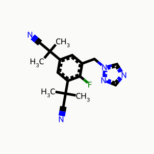 CC(C)(C#N)c1cc(Cn2cncn2)c(F)c(C(C)(C)C#N)c1